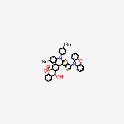 CC(C)(C)c1ccc(N(c2ccc(C(C)(C)C)cc2)c2sc3c(N4c5ccccc5Oc5ccccc54)csc3c2-c2ccc3c(c2)C(O)c2ccccc2S3(=O)=O)cc1